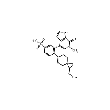 Cn1cc(-c2cc(S(C)(=O)=O)ccc2N2CCC3(CC2)CC3CO)c2cc[nH]c2c1=O